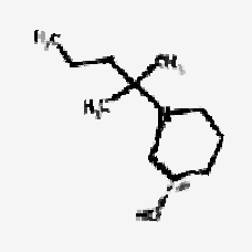 CCCC(C)(C)N1CCC[C@H](O)C1